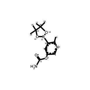 Cc1ncc(OC(N)=O)cc1B1OC(C)(C)C(C)(C)O1